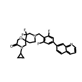 O=C1COC2(CCN(Cc3c(F)cc(-c4ccc5cccnc5c4)cc3F)CC2(F)F)CN1C1CC1